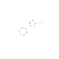 CC(C)(C)c1cc(N)n(-c2cc(F)cc(F)c2)n1